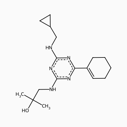 CC(C)(O)CNc1nc(NCC2CC2)nc(C2=CCCCC2)n1